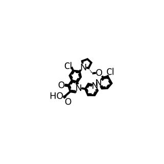 O=C(O)c1cn(-c2cccnc2)c2cc(N3CCC[C@@H]3COc3ncccc3Cl)c(Cl)cc2c1=O